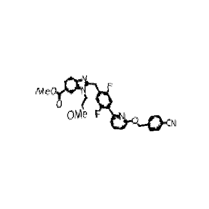 COCCn1c(Cc2cc(F)c(-c3cccc(OCc4ccc(C#N)cc4)n3)cc2F)nc2ccc(C(=O)OC)cc21